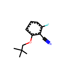 CC(C)(C)COc1cccc(F)c1C#N